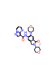 O=C(Nc1cc2c(cc1N1CCOCC1)C(=O)N([C@@H]1CCOC[C@H]1F)C2)c1cnn2cccnc12